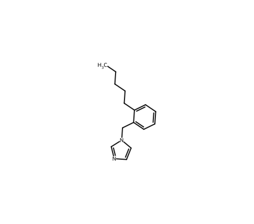 CCCCCc1ccccc1Cn1ccnc1